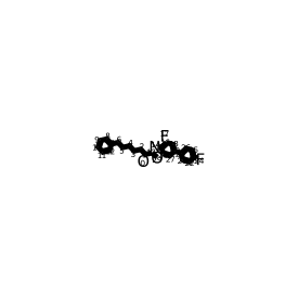 O=C(CCCCCc1ccccc1)c1nc2c(F)cc(-c3ccc(F)cc3)cc2o1